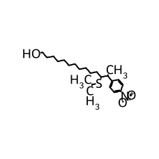 CC(C)SC(CCCCCCCCCCCO)C(C)c1ccc([N+](=O)[O-])cc1